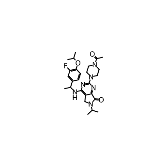 CC(=O)N1CCN(c2nc(NC(C)c3ccc(OC(C)C)c(F)c3)c3c(n2)C(=O)N(C(C)C)C3)CC1